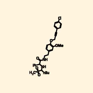 CCCCC(NC(C(=O)NCCc1ccc(OCC#Cc2ccc(Cl)cc2)c(OC)c1)C(C)C)S(C)(=O)=O